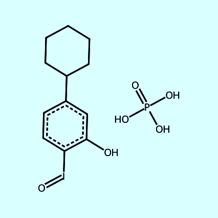 O=Ic1ccc(C2CCCCC2)cc1O.O=P(O)(O)O